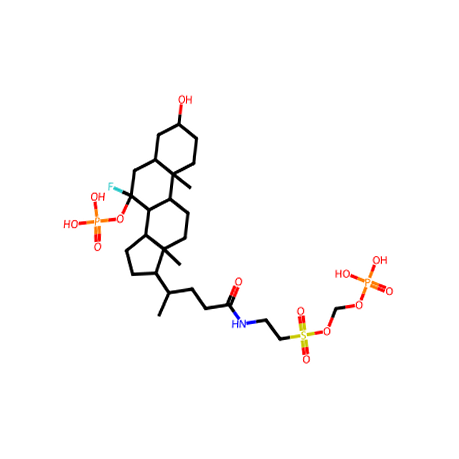 CC(CCC(=O)NCCS(=O)(=O)OCOP(=O)(O)O)C1CCC2C3C(CCC12C)C1(C)CCC(O)CC1CC3(F)OP(=O)(O)O